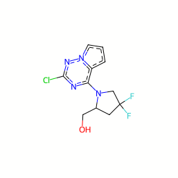 OCC1CC(F)(F)CN1c1nc(Cl)nn2cccc12